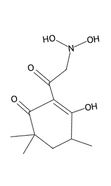 CC1CC(C)(C)C(=O)C(C(=O)CN(O)O)=C1O